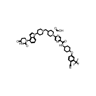 N#Cc1ccc(OC2CCC(NC(=O)c3cnc(N4CCC(CN5CCC(n6ccc7c(N8CCC(=O)NC8=O)cccc76)CC5)CC4)cn3)CC2)cc1C(F)(F)F.O=CO